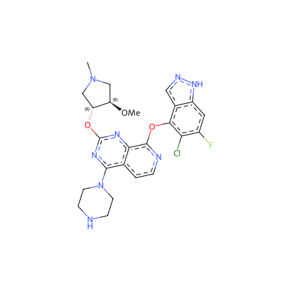 CO[C@@H]1CN(C)C[C@H]1Oc1nc(N2CCNCC2)c2ccnc(Oc3c(Cl)c(F)cc4[nH]ncc34)c2n1